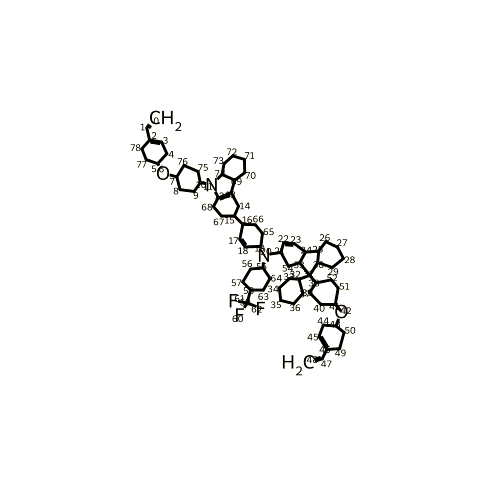 C=CC1=CCC(OC2CCC(N3C4=C(CC(C5C=CC(N(C6C=CC7C8CCCCC8C(C8CCCCC8)(C8CCC(OC9CC=C(C=C)CC9)CC8)C7C6)C6CCC(C(F)(F)F)CC6)CC5)CC4)C4CCCCC43)CC2)CC1